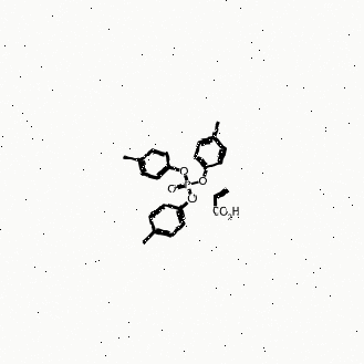 C=CC(=O)O.Cc1ccc(OP(=O)(Oc2ccc(C)cc2)Oc2ccc(C)cc2)cc1